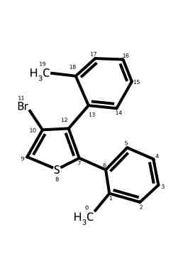 Cc1ccccc1-c1scc(Br)c1-c1ccccc1C